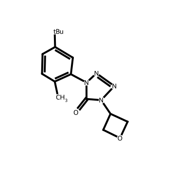 Cc1ccc(C(C)(C)C)cc1-n1nnn(C2COC2)c1=O